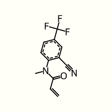 C=CC(=O)N(C)c1ccc(C(F)(F)F)cc1C#N